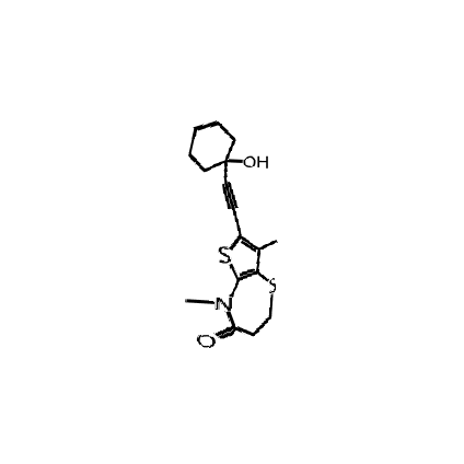 Cc1c(C#CC2(O)CCCCC2)sc2c1SCCC(=O)N2C